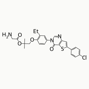 CCc1cc(-n2cnc3cc(-c4ccc(Cl)cc4)sc3c2=O)ccc1OCC(C)(C)OC(=O)CN